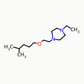 CCN1CCN(CCOCCCC(C)C)CC1